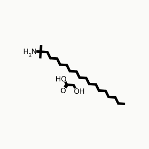 CCCCCCCCCCCCCCCCCC(C)(C)N.O=C(O)CO